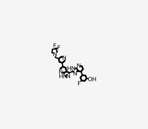 Oc1cc(F)cc(-c2ccnc3[nH]c(-c4n[nH]c5ncc(-c6cncc(CN7CCC(F)(F)C7)c6)cc45)nc23)c1